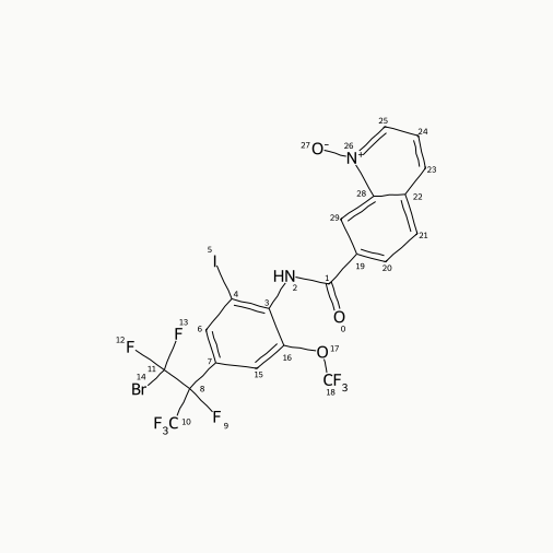 O=C(Nc1c(I)cc(C(F)(C(F)(F)F)C(F)(F)Br)cc1OC(F)(F)F)c1ccc2ccc[n+]([O-])c2c1